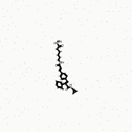 O=C(/C=C/c1ccc(/C=C(/C(=O)NC2CC2)c2ccccc2F)cc1)NCCCCCC(=O)NO